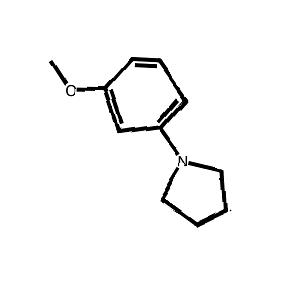 COc1cccc(N2C[CH]CC2)c1